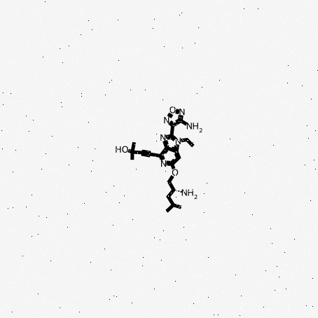 CCn1c(-c2nonc2N)nc2c(C#CC(C)(C)O)nc(OC[C@H](N)CC(C)C)cc21